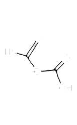 O=C(O)OC(=S)S